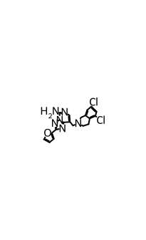 Nc1ncc(CN2CCc3c(Cl)cc(Cl)cc3C2)c2nc(-c3ccco3)nn12